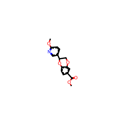 COC(=O)c1ccc2c(c1)OCC(c1ccc(OC)nc1)O2